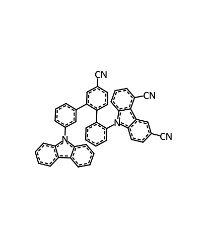 N#Cc1ccc(-c2ccccc2-n2c3ccc(C#N)cc3c3c(C#N)cccc32)c(-c2cccc(-n3c4ccccc4c4ccccc43)c2)c1